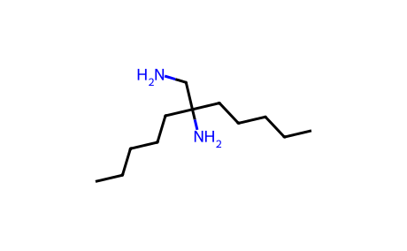 CCCCCC(N)(CN)CCCCC